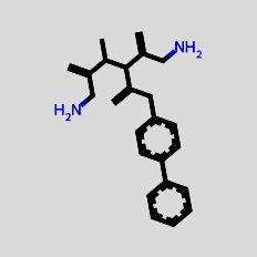 C=C(CN)C(C)C(C(=C)CN)C(=C)Cc1ccc(-c2ccccc2)cc1